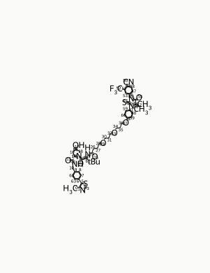 Cc1ncsc1-c1ccc(CNC(=O)[C@@H]2C[C@@H](O)CN2C(=O)[C@@H](NC(=O)CCCOCCCOCCCOc2ccc(N3C(=S)N(c4ccc(C#N)c(C(F)(F)F)c4)C(=O)C3(C)C)cc2)C(C)(C)C)cc1